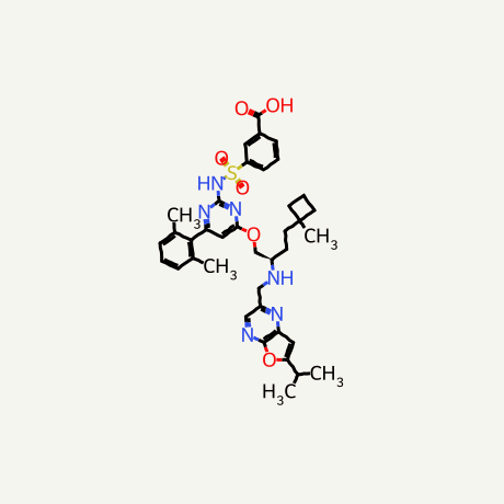 Cc1cccc(C)c1-c1cc(OC[C@@H](CCC2(C)CCC2)NCc2cnc3oc(C(C)C)cc3n2)nc(NS(=O)(=O)c2cccc(C(=O)O)c2)n1